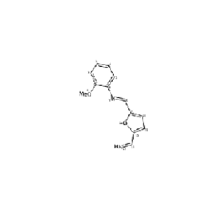 COc1ccccc1N=Cc1ccc(C=N)o1